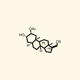 CC(=O)O[C@H]1C[C@@]2(C)[C@@H](CC[C@@H]3[C@@H]2CC[C@]2(C)/C(=C\C#N)CC[C@@H]32)C[C@@H]1O